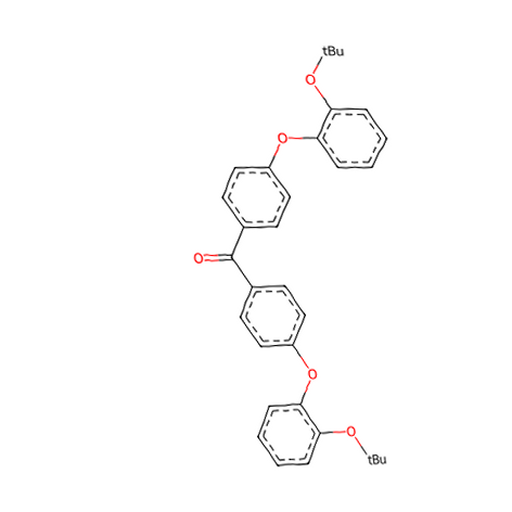 CC(C)(C)Oc1ccccc1Oc1ccc(C(=O)c2ccc(Oc3ccccc3OC(C)(C)C)cc2)cc1